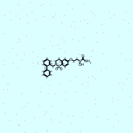 NC(=O)N(O)CCOc1ccc2c(c1)CCN(Cc1ccccc1-c1ccccc1)S2(=O)=O